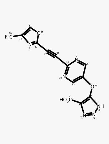 O=C(O)c1nn[nH]c1Oc1cnc(C#Cc2nc(C(F)(F)F)co2)nc1